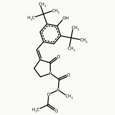 CC(=O)ON(C)C(=O)N1CC/C(=C/c2cc(C(C)(C)C)c(O)c(C(C)(C)C)c2)C1=O